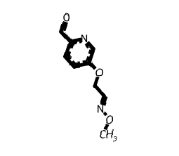 CO/N=C/COc1ccc(C=O)nc1